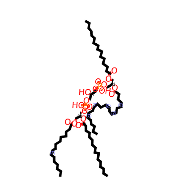 CCCCC/C=C\C/C=C\C/C=C\C/C=C\C/C=C\CCC(=O)O[C@H](COC(=O)CCCCCCCCCCCCCCC)COP(=O)(O)OC[C@H](O)COP(=O)(O)OC[C@@H](COC(=O)CCCCCCC/C=C\CCCCCC)OC(=O)CCCCCCCCCCCCCCC